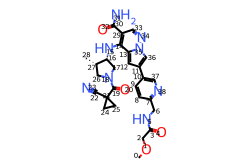 COCC(=O)NCc1ccc(-c2cc3c(N[C@@H]4CN(C(=O)C5(C#N)CC5)C[C@@H]4C)c(C(N)=O)cnn3c2)cn1